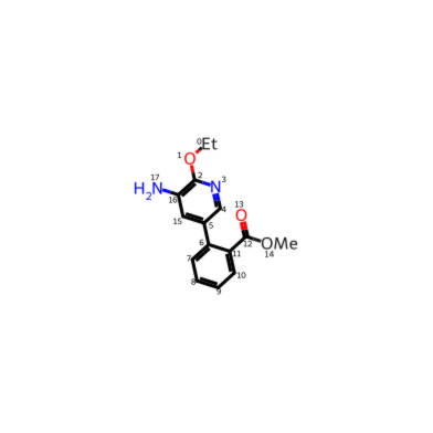 CCOc1ncc(-c2ccccc2C(=O)OC)cc1N